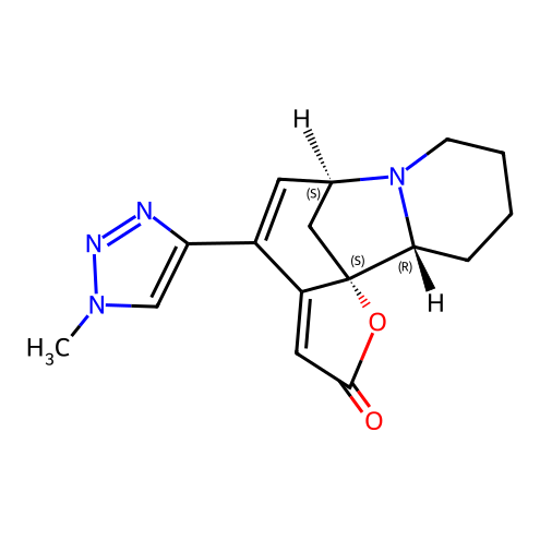 Cn1cc(C2=C[C@@H]3C[C@@]4(OC(=O)C=C24)[C@H]2CCCCN32)nn1